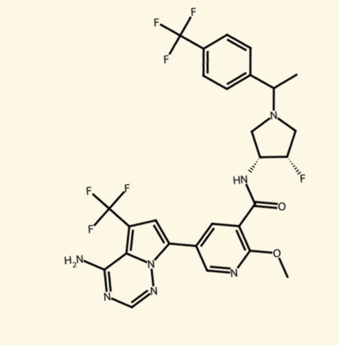 COc1ncc(-c2cc(C(F)(F)F)c3c(N)ncnn23)cc1C(=O)N[C@@H]1CN(C(C)c2ccc(C(F)(F)F)cc2)C[C@@H]1F